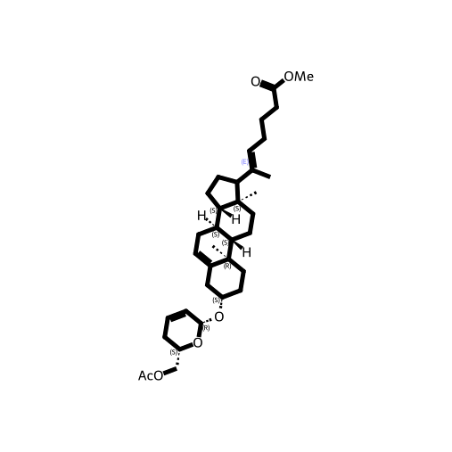 COC(=O)CCC/C=C(\C)C1CC[C@H]2[C@@H]3CC=C4C[C@@H](O[C@H]5C=CC[C@@H](COC(C)=O)O5)CC[C@]4(C)[C@H]3CC[C@]12C